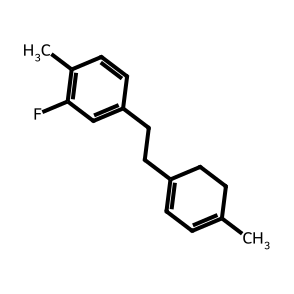 CC1=CC=C(CCc2ccc(C)c(F)c2)CC1